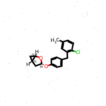 Cc1ccc(Cl)c(Cc2ccc(O[C@@H]3C[C@@H]4C[C@@H]4O3)cc2)c1